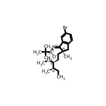 CC[C@@H](C)[C@H](CC[C@]1(C)Cc2ccc(Br)cc2/C1=N/[S@@+]([O-])C(C)(C)C)OC